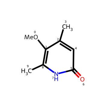 COc1c(C)cc(=O)[nH]c1C